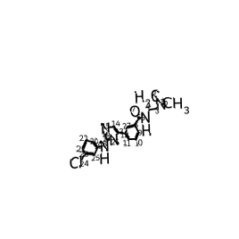 CN(C)CCNC(=O)c1cccc(-c2cncc(Nc3cccc(Cl)c3)n2)c1